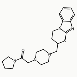 O=C(CN1CCN(CC2CCn3c(nc4ccccc43)S2)CC1)N1CCCC1